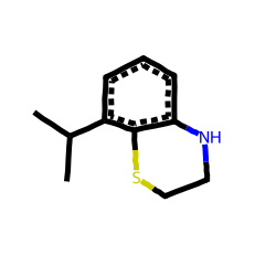 CC(C)c1cccc2c1SCCN2